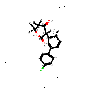 Cc1ccc(-c2ccc(Cl)cc2)cc1C1([N+](=O)[O-])C(=O)OC(C)(C)C(C)(C)C1=O